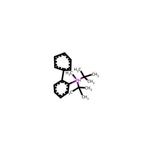 CC(C)(C)[PH](C)(c1ccccc1-c1ccccc1)C(C)(C)C